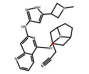 CN1CC(c2cc(Nc3cc4ncccc4c(NC4CC5CCC(C4)N5CCC#N)n3)n[nH]2)C1